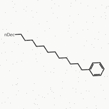 CCCCCCCCCCCCCCCCCCCCC[CH]c1ccccc1